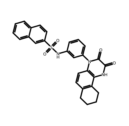 O=c1[nH]c2c3c(ccc2n(-c2cccc(NS(=O)(=O)c4ccc5ccccc5c4)c2)c1=O)CCCC3